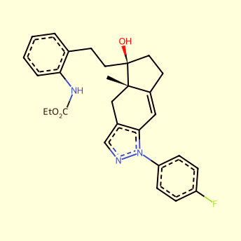 CCOC(=O)Nc1ccccc1CC[C@]1(O)CCC2=Cc3c(cnn3-c3ccc(F)cc3)C[C@@]21C